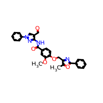 COc1cc(C(=O)Nc2nn(-c3ccccc3)cc2C=O)ccc1OCc1nc(-c2ccccc2)oc1C